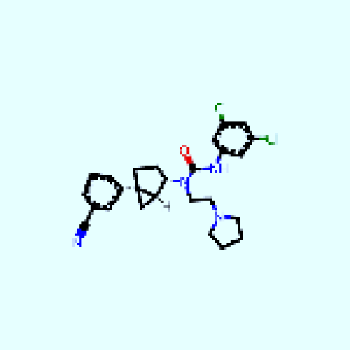 N#Cc1cccc([C@]23CC[C@@H](N(CCN4CCCC4)C(=O)Nc4cc(Cl)cc(Cl)c4)[C@H]2C3)c1